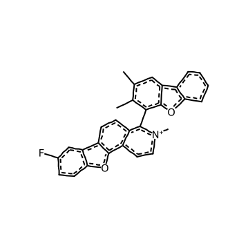 Cc1cc2c(oc3ccccc32)c(-c2c3ccc4c5cc(F)ccc5oc4c3cc[n+]2C)c1C